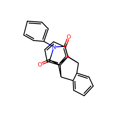 O=C1C2=C(C(=O)N1c1ccccc1)C1c3ccccc3C2c2ccccc21